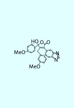 COc1ccc(C2(O)OC(=O)C(c3ccc4nsnc4c3)=C2Cc2cccc(OC)c2)cc1